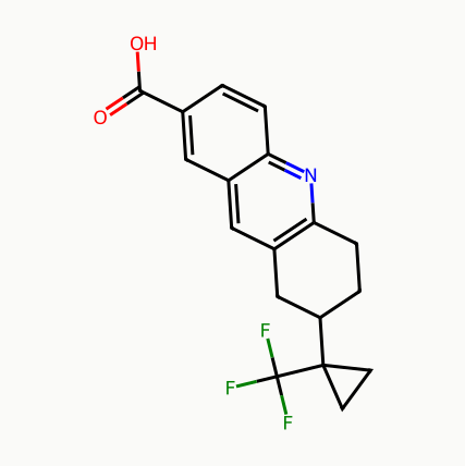 O=C(O)c1ccc2nc3c(cc2c1)CC(C1(C(F)(F)F)CC1)CC3